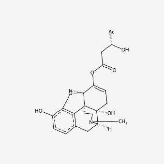 CC(=O)[C@H](O)CC(=O)OC1=CC[C@@]2(O)[C@H]3Cc4ccc(O)c5c4[C@@]2(CCN3C)[C@H]1O5